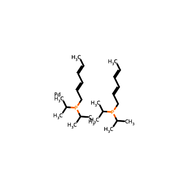 CC=CC=CCP(C(C)C)C(C)C.CC=CC=CCP(C(C)C)C(C)C.[Pd]